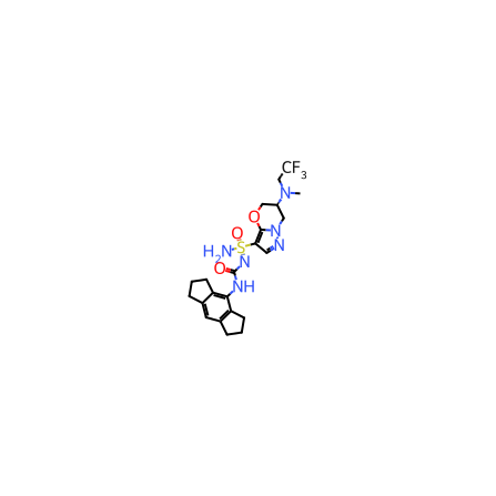 CN(CC(F)(F)F)[C@@H]1COc2c(S(N)(=O)=NC(=O)Nc3c4c(cc5c3CCC5)CCC4)cnn2C1